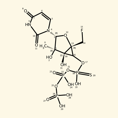 C[C@]1(O)[C@H](n2ccc(=O)[nH]c2=O)O[C@]2(CF)C(OP(O)(=S)OP(=O)(O)OP(=O)(O)O)[C@]12O